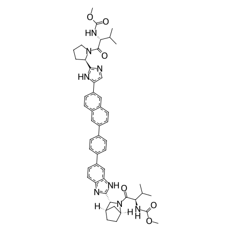 COC(=O)N[C@@H](C(=O)N1CCC[C@@H]1c1ncc(-c2ccc3cc(-c4ccc(-c5ccc6nc([C@H]7[C@@H]8CC[C@@H](C8)N7C(=O)[C@H](NC(=O)OC)C(C)C)[nH]c6c5)cc4)ccc3c2)[nH]1)C(C)C